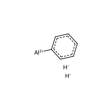 [Al+2][c]1ccccc1.[H-].[H-]